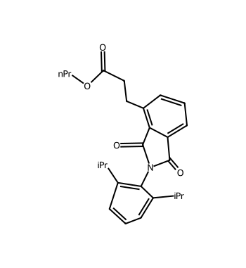 CCCOC(=O)CCc1cccc2c1C(=O)N(c1c(C(C)C)cccc1C(C)C)C2=O